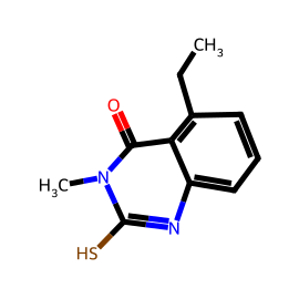 CCc1cccc2nc(S)n(C)c(=O)c12